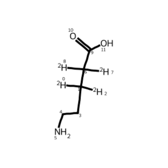 [2H]C([2H])(CCN)C([2H])([2H])C(=O)O